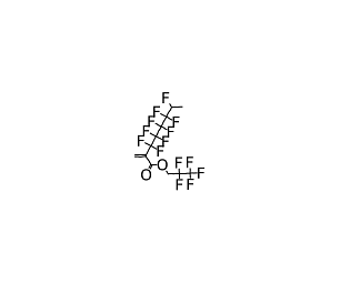 C=C(C(=O)OCC(F)(F)C(F)(F)F)C(F)(F)C(F)(F)C(F)(F)C(F)(F)C(C)F